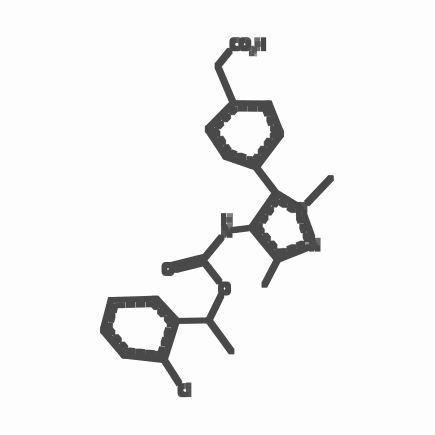 Cc1nn(C)c(-c2ccc(CC(=O)O)cc2)c1NC(=O)OC(C)c1ccccc1Cl